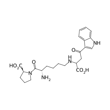 N[C@@H](CCCCNC(CC(=O)c1c[nH]c2ccccc12)C(=O)O)C(=O)N1CCC[C@H]1C(=O)O